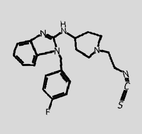 Fc1ccc(Cn2c(NC3CCN(CCN=C=S)CC3)nc3ccccc32)cc1